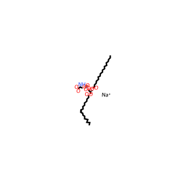 CCCCCCCC/C=C\CCCCCCCC(=O)O[C@H](COC(=O)CCCCCCCCCCCCCCCCC)COP(=O)(O)OC[C@H](N)C(=O)[O-].[Na+]